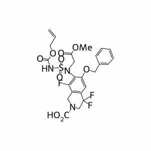 C=CCOC(=O)NS(=O)(=O)N(CC(=O)OC)c1c(OCc2ccccc2)cc2c(c1F)CN(C(=O)O)CC2(F)F